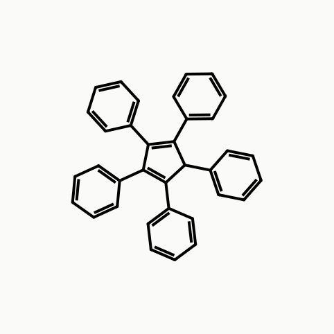 c1ccc(C2=C(c3ccccc3)C(c3ccccc3)C(c3ccccc3)=C2c2ccccc2)cc1